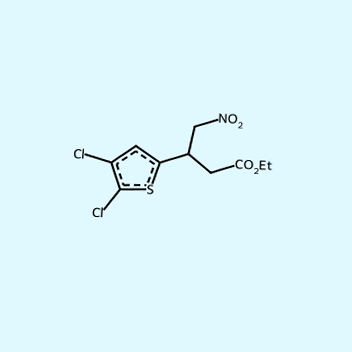 CCOC(=O)CC(C[N+](=O)[O-])c1cc(Cl)c(Cl)s1